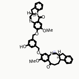 COc1cc2c(cc1OCc1cc(O)cc(COc3cc4c(cc3OC)C(=O)CCC3c5ccccc5C[C@H]3/C=N\4)c1)N=C[C@@H]1Cc3ccccc3N1C2=O